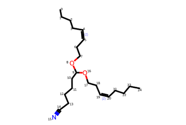 CCCC/C=C\CCOC(CCCCC#N)OCC/C=C\CCCC